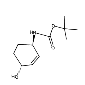 CC(C)(C)OC(=O)N[C@H]1C=C[C@H](O)CC1